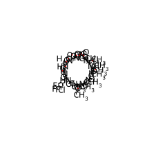 CCCOC[C@H]1C(=O)N(C)CC(=O)N[C@@H](CCc2ccc(C(F)(F)F)c(Cl)c2)C(=O)N2CCC[C@H]2C(=O)NC2(CCCC2)C(=O)N(C)[C@@H](C2CCCCC2)C(=O)N(C)[C@H](C(=O)N2C3CCC2COC3)CC(=O)N(C)[C@@H](CCC)C(=O)N[C@@H]([C@@H](C)CC)C(=O)N(C)CC(=O)N(C)CC(=O)N1C